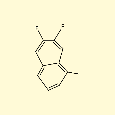 Cc1cccc2cc(F)c(F)cc12